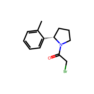 Cc1ccccc1[C@@H]1CCCN1C(=O)CBr